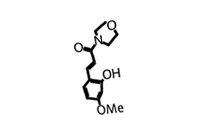 COc1ccc(/C=C/C(=O)N2CCOCC2)c(O)c1